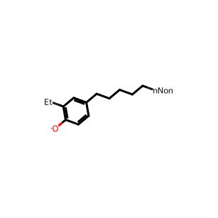 CCCCCCCCCCCCCCc1ccc([O])c(CC)c1